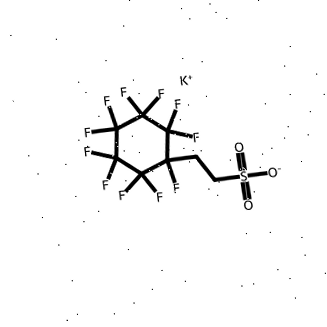 O=S(=O)([O-])CCC1(F)C(F)(F)C(F)(F)C(F)(F)C(F)(F)C1(F)F.[K+]